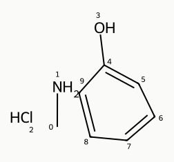 CN.Cl.Oc1ccccc1